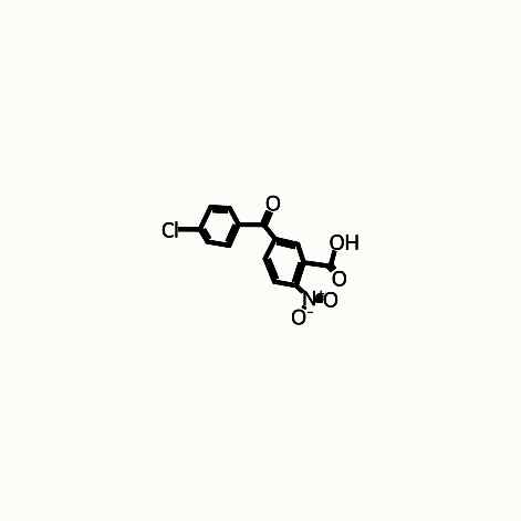 O=C(c1ccc(Cl)cc1)c1ccc([N+](=O)[O-])c(C(=O)O)c1